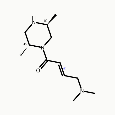 C[C@@H]1CN[C@@H](C)CN1C(=O)/C=C/CN(C)C